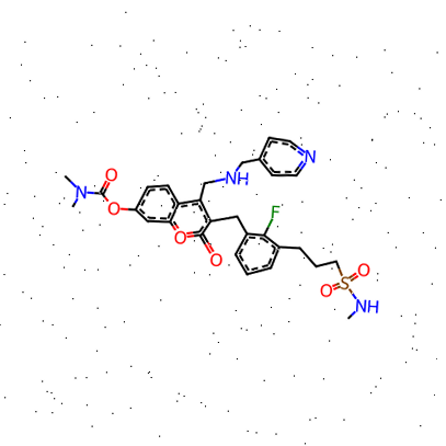 CNS(=O)(=O)CCCc1cccc(Cc2c(CNCc3ccncc3)c3ccc(OC(=O)N(C)C)cc3oc2=O)c1F